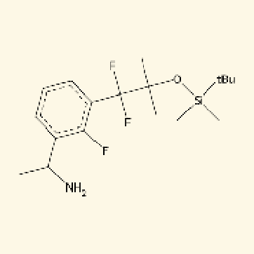 CC(N)c1cccc(C(F)(F)C(C)(C)O[Si](C)(C)C(C)(C)C)c1F